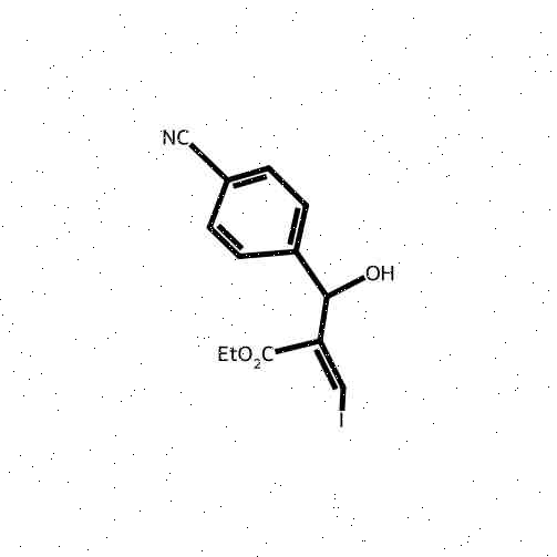 CCOC(=O)/C(=C\I)C(O)c1ccc(C#N)cc1